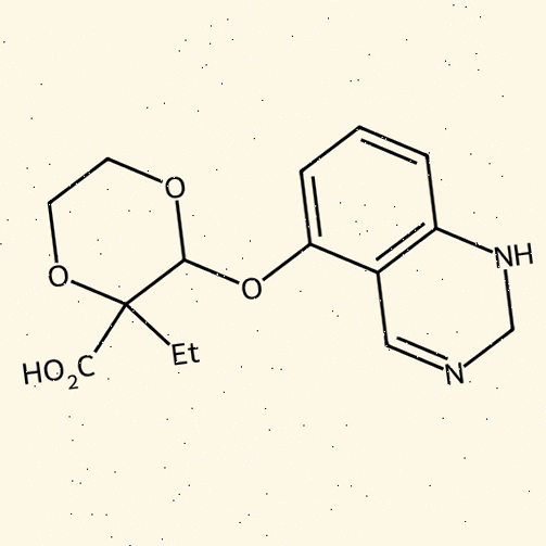 CCC1(C(=O)O)OCCOC1Oc1cccc2c1C=NCN2